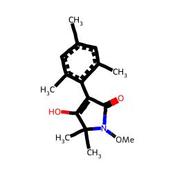 CON1C(=O)C(c2c(C)cc(C)cc2C)=C(O)C1(C)C